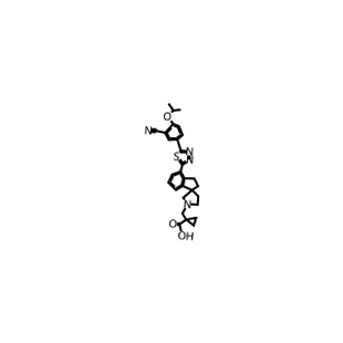 CC(C)Oc1ccc(-c2nnc(-c3cccc4c3CCC43CCN(CC4(C(=O)O)CC4)C3)s2)cc1C#N